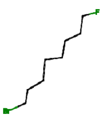 FCCCCCCCCBr